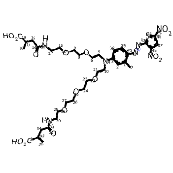 Cc1cc(N(CCOCCOCCNC(=O)CC(C)C(=O)O)CCOCCOCCOCCNC(=O)CC(C)C(=O)O)ccc1/N=N/c1sc([N+](=O)[O-])cc1[N+](=O)[O-]